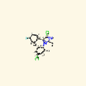 Cc1nc(Cl)c(-c2ccc(F)cc2)n1-c1ccc(Cl)cc1